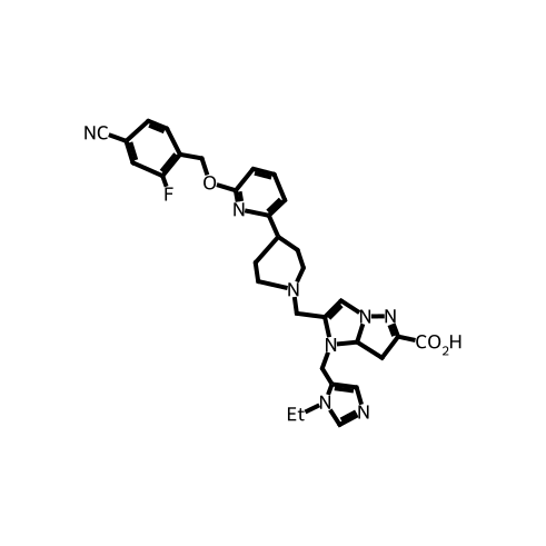 CCn1cncc1CN1C(CN2CCC(c3cccc(OCc4ccc(C#N)cc4F)n3)CC2)=CN2N=C(C(=O)O)CC21